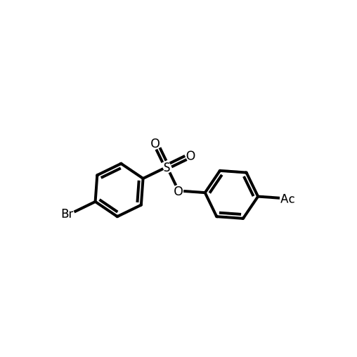 CC(=O)c1ccc(OS(=O)(=O)c2ccc(Br)cc2)cc1